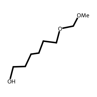 COCOCCCCCCO